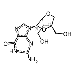 Nc1nc2c(ncn2[C@@H]2O[C@@]3(CO)COC2C3CO)c(=O)[nH]1